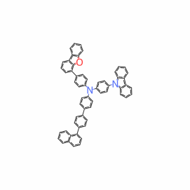 c1ccc2c(-c3ccc(-c4ccc(N(c5ccc(-c6cccc7c6oc6ccccc67)cc5)c5ccc(-n6c7ccccc7c7ccccc76)cc5)cc4)cc3)cccc2c1